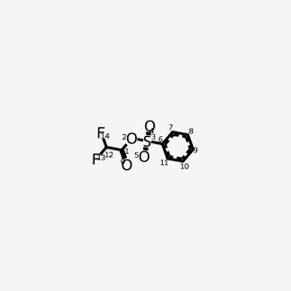 O=C(OS(=O)(=O)c1ccccc1)C(F)F